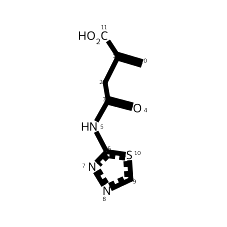 C=C(CC(=O)Nc1nncs1)C(=O)O